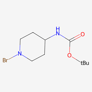 CC(C)(C)OC(=O)NC1CCN(Br)CC1